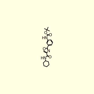 CC(C)(C)OC(=O)Nc1cccc(-c2nc(C(=O)NC3CCCCC3)co2)c1